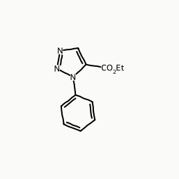 CCOC(=O)c1cnnn1-c1ccccc1